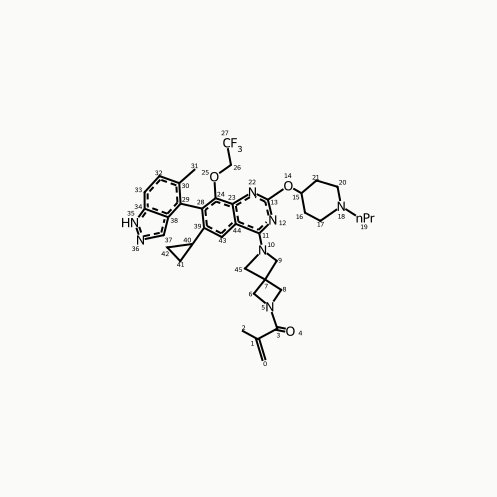 C=C(C)C(=O)N1CC2(C1)CN(c1nc(OC3CCN(CCC)CC3)nc3c(OCC(F)(F)F)c(-c4c(C)ccc5[nH]ncc45)c(C4CC4)cc13)C2